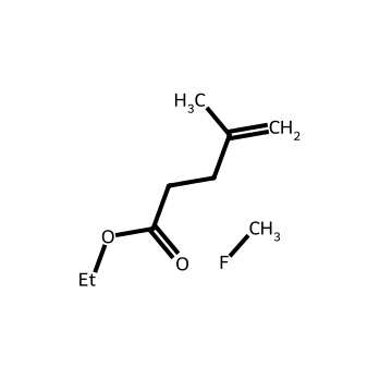 C=C(C)CCC(=O)OCC.CF